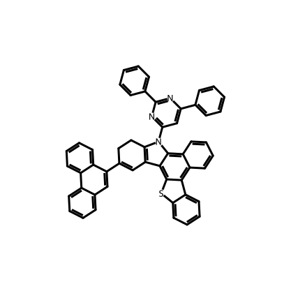 C1=C(c2cc3ccccc3c3ccccc23)CCc2c1c1c3sc4ccccc4c3c3ccccc3c1n2-c1cc(-c2ccccc2)nc(-c2ccccc2)n1